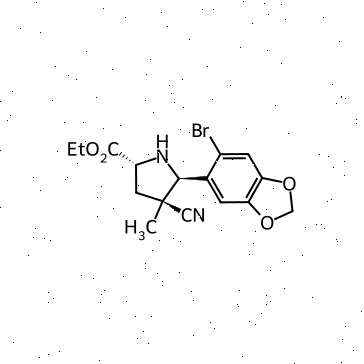 CCOC(=O)[C@H]1C[C@](C)(C#N)[C@H](c2cc3c(cc2Br)OCO3)N1